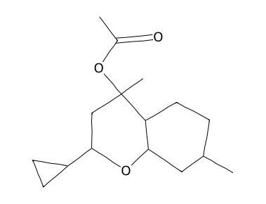 CC(=O)OC1(C)CC(C2CC2)OC2CC(C)CCC21